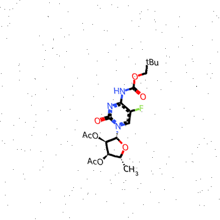 CC(=O)O[C@@H]1[C@H](OC(C)=O)[C@@H](C)O[C@H]1n1cc(F)c(NC(=O)OCC(C)(C)C)nc1=O